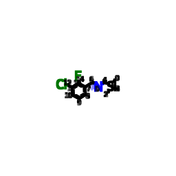 C[Si](C)(C)C/N=C/c1cccc(Cl)c1F